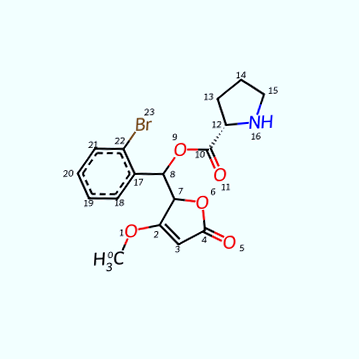 COC1=CC(=O)OC1C(OC(=O)[C@@H]1CCCN1)c1ccccc1Br